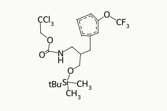 CC(C)(C)[Si](C)(C)OCC(CNC(=O)OCC(Cl)(Cl)Cl)Cc1cccc(OC(F)(F)F)c1